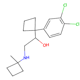 CC1(NCC(O)C2(c3ccc(Cl)c(Cl)c3)CCC2)CCC1